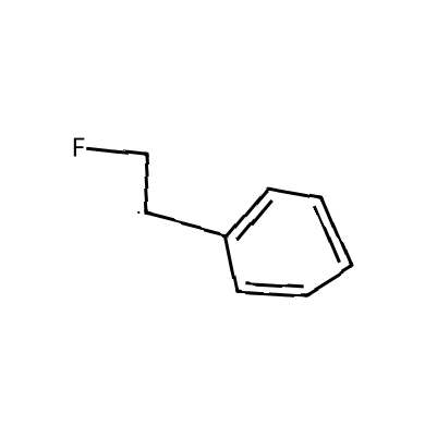 FC[CH]c1ccccc1